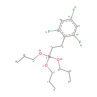 CCCO[Si](CCc1c(F)cc(F)cc1F)(OCCC)OCCC